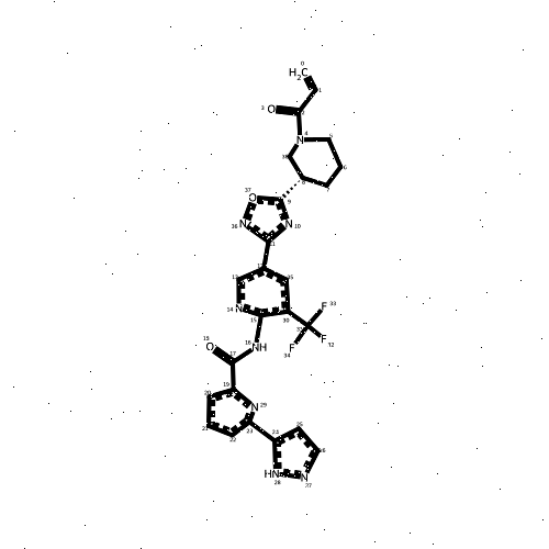 C=CC(=O)N1CCC[C@H](c2nc(-c3cnc(NC(=O)c4cccc(-c5ccn[nH]5)n4)c(C(F)(F)F)c3)no2)C1